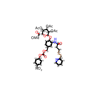 COC(=O)[C@H]1OC(Oc2ccc(COC(=O)Oc3ccc([N+](=O)[O-])cc3)cc2NC(=O)CCSSc2ccccn2)[C@H](OC(C)=O)[C@@H](OC(C)=O)[C@@H]1OC(C)=O